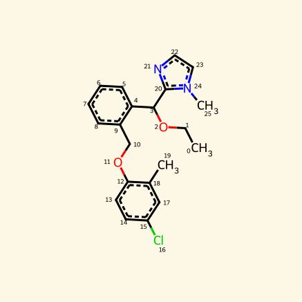 CCOC(c1ccccc1COc1ccc(Cl)cc1C)c1nccn1C